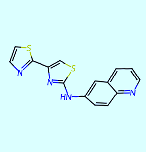 c1cnc2ccc(Nc3nc(-c4nccs4)cs3)cc2c1